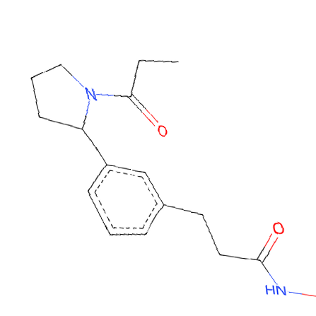 CCC(=O)N1CCCC1c1cccc(CCC(=O)NO)c1